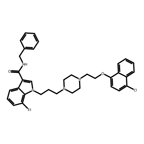 CCc1cccc2c(C(=O)NCc3ccccc3)cn(CCCN3CCN(CCOc4ccc(Cl)c5ccccc45)CC3)c12